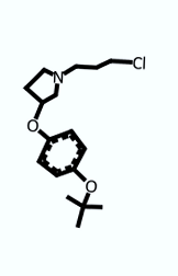 CC(C)(C)Oc1ccc(OC2CCN(CCCCl)C2)cc1